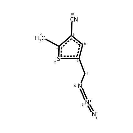 Cc1sc(CN=[N+]=[N-])cc1C#N